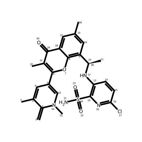 C=C1C(C)=CC(c2oc3c([C@@H](C)Nc4ccc(Cl)nc4S(N)(=O)=O)cc(C)cc3c(=O)c2C)=CN1C